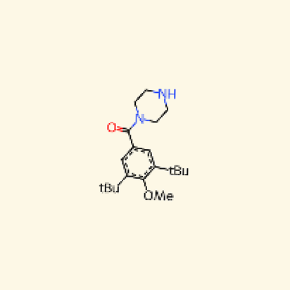 COc1c(C(C)(C)C)cc(C(=O)N2CCNCC2)cc1C(C)(C)C